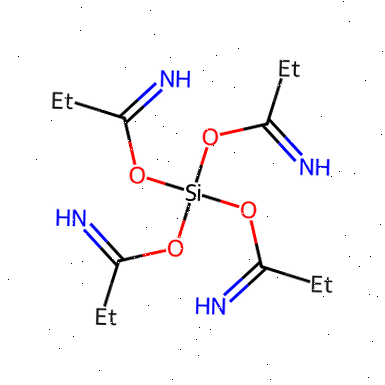 CCC(=N)O[Si](OC(=N)CC)(OC(=N)CC)OC(=N)CC